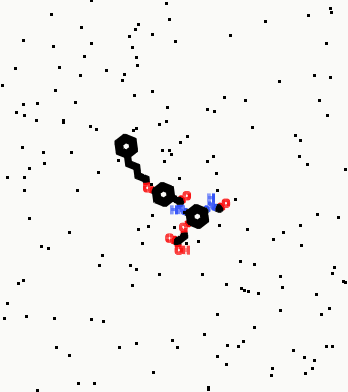 O=CNc1ccc(OCC(=O)O)c(NC(=O)c2ccc(OCCCCc3ccccc3)cc2)c1